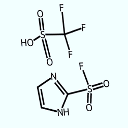 O=S(=O)(F)c1ncc[nH]1.O=S(=O)(O)C(F)(F)F